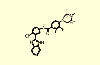 Cc1c(C(=O)Nc2ccc(Cl)c(-c3nc4ccccc4[nH]3)c2)ccc(N2C[C@@H](C)N(C)[C@@H](C)C2)c1F